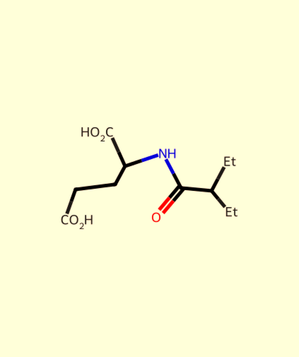 CCC(CC)C(=O)NC(CCC(=O)O)C(=O)O